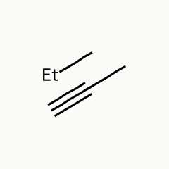 C#CC.CCC